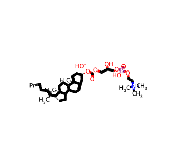 CC(C)CCC[C@@H](C)[C@H]1CCC2C3CC=C4C[C@@H](OC(=O)OCC(O)COP(=O)(O)OCC[N+](C)(C)C)CC[C@]4(C)C3CC[C@@]21C.[OH-]